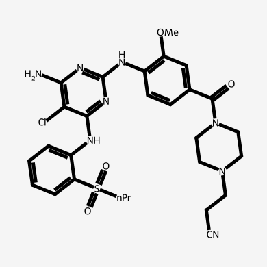 CCCS(=O)(=O)c1ccccc1Nc1nc(Nc2ccc(C(=O)N3CCN(CCC#N)CC3)cc2OC)nc(N)c1Cl